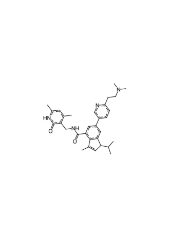 CC1=CC(C(C)C)c2cc(-c3ccc(CCN(C)C)nc3)cc(C(=O)NCc3c(C)cc(C)[nH]c3=O)c21